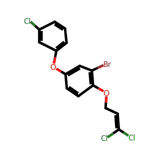 ClC(Cl)=CCOc1ccc(Oc2cccc(Cl)c2)cc1Br